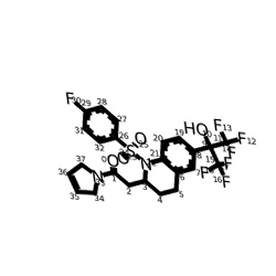 O=C(CC1CCc2cc(C(O)(C(F)(F)F)C(F)(F)F)ccc2N1S(=O)(=O)c1ccc(F)cc1)N1CC=CC1